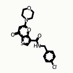 O=C(NCc1ccc(Cl)cc1)c1csc2c(=O)cc(N3CCOCC3)oc12